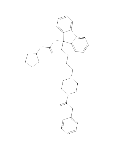 O=C(NC1CCCC1)OC1(CCCCN2CCN(C(=O)Cc3ccccc3)CC2)c2ccccc2-c2ccccc21